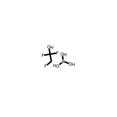 OB(O)O.OC(F)(F)CF